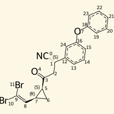 N#C[C@@H](CC(=O)[C@H]1C[C@H]1C=C(Br)Br)c1cccc(Oc2ccccc2)c1